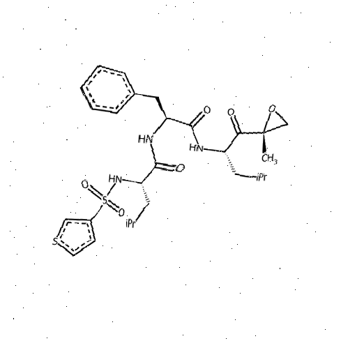 CC(C)C[C@H](NS(=O)(=O)c1ccsc1)C(=O)N[C@@H](Cc1ccccc1)C(=O)N[C@@H](CC(C)C)C(=O)[C@@]1(C)CO1